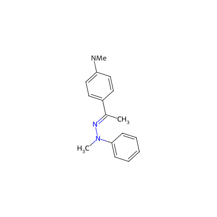 CNc1ccc(/C(C)=N/N(C)c2ccccc2)cc1